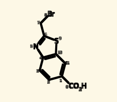 O=C(O)c1ccc2nc(CBr)sc2c1